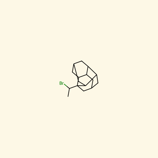 CC(Br)C12CC3CC4C5CC(CC41)CC2C5C3